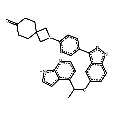 CC(Oc1ccc2[nH]nc(-c3ccc(N4CC5(CCC(=O)CC5)C4)nc3)c2c1)c1ccnc2[nH]ccc12